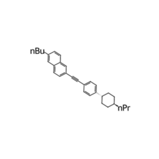 CCCCc1ccc2cc(C#Cc3ccc([C@H]4CC[C@H](CCC)CC4)cc3)ccc2c1